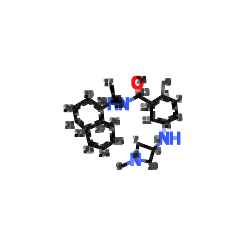 Cc1ccc(NC2CN(C)C2)cc1C(=O)N[C@H](C)c1cccc2ccccc12